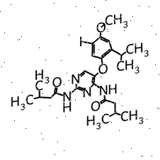 COc1cc(C(C)C)c(Oc2cnc(NC(=O)CC(C)C)nc2NC(=O)CC(C)C)cc1I